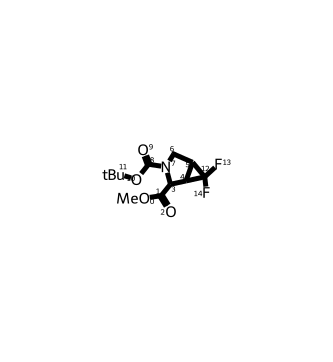 COC(=O)C1C2C(CN1C(=O)OC(C)(C)C)C2(F)F